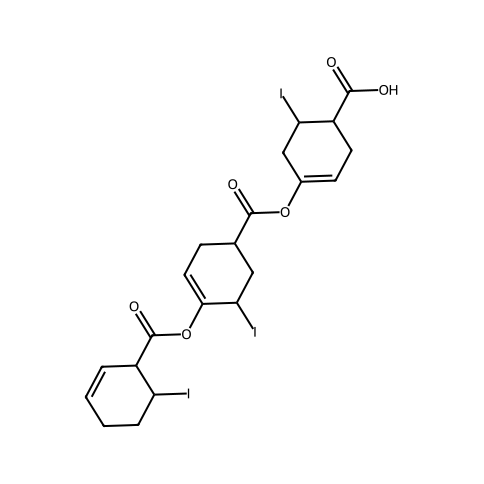 O=C(OC1=CCC(C(=O)O)C(I)C1)C1CC=C(OC(=O)C2C=CCCC2I)C(I)C1